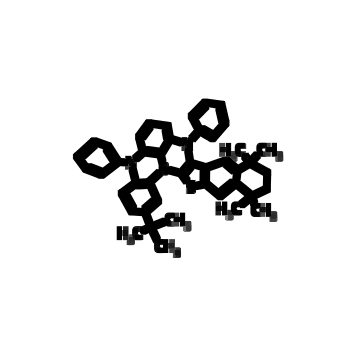 CC(C)(C)c1ccc2c(c1)B1c3sc4cc5c(cc4c3N(c3ccccc3)c3cccc(c31)N2c1ccccc1)C(C)(C)CCC5(C)C